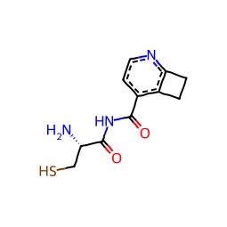 N[C@@H](CS)C(=O)NC(=O)c1ccnc2c1CC2